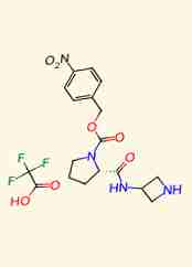 O=C(NC1CNC1)[C@@H]1CCCN1C(=O)OCc1ccc([N+](=O)[O-])cc1.O=C(O)C(F)(F)F